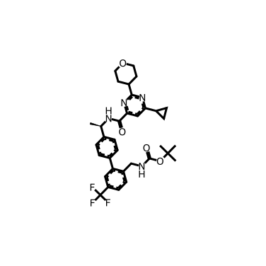 C[C@@H](NC(=O)c1cc(C2CC2)nc(C2CCOCC2)n1)c1ccc(-c2cc(C(F)(F)F)ccc2CNC(=O)OC(C)(C)C)cc1